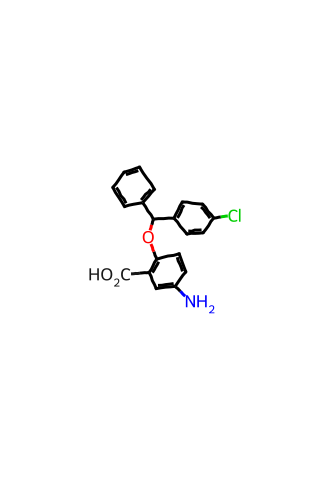 Nc1ccc(OC(c2ccccc2)c2ccc(Cl)cc2)c(C(=O)O)c1